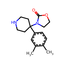 Cc1ccc(C2(N3CCOC3=O)CCNCC2)cc1C